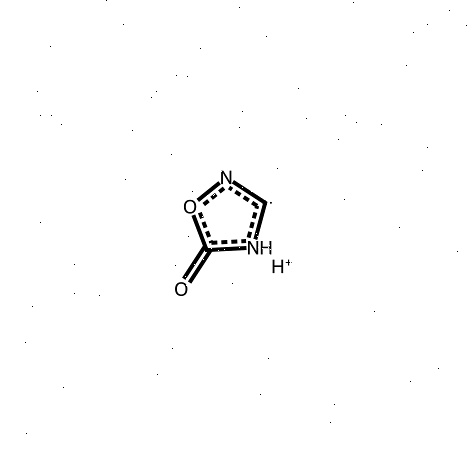 O=c1[nH][c]no1.[H+]